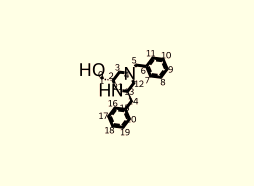 OC[C@@H]1CN(Cc2ccccc2)C[C@@H](Cc2ccccc2)N1